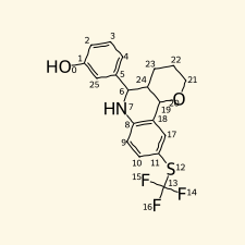 Oc1cccc(C2Nc3ccc(SC(F)(F)F)cc3C3OCCCC23)c1